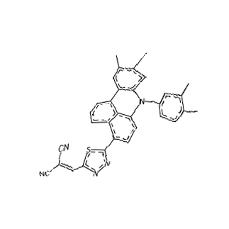 Cc1ccc(N2c3cc(C)c(C)cc3-c3cccc4c(-c5nnc(C=C(C#N)C#N)s5)ccc2c34)cc1C